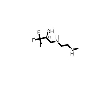 CNCCNC[C@H](O)C(F)(F)F